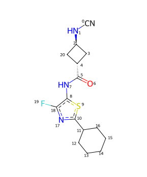 N#CN[C@H]1C[C@H](C(=O)Nc2sc(C3CCCCC3)nc2F)C1